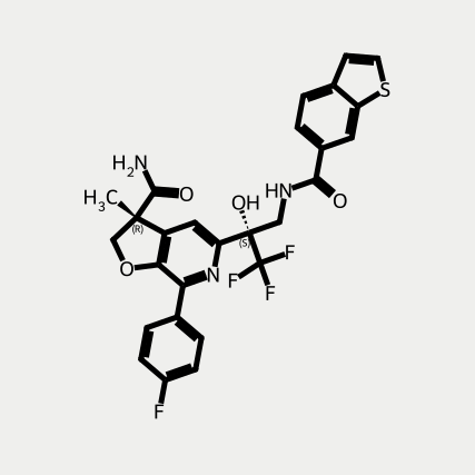 C[C@]1(C(N)=O)COc2c1cc([C@@](O)(CNC(=O)c1ccc3ccsc3c1)C(F)(F)F)nc2-c1ccc(F)cc1